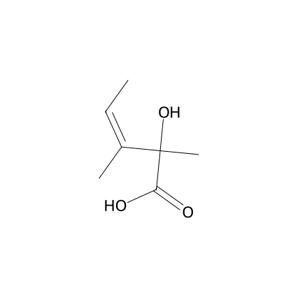 CC=C(C)C(C)(O)C(=O)O